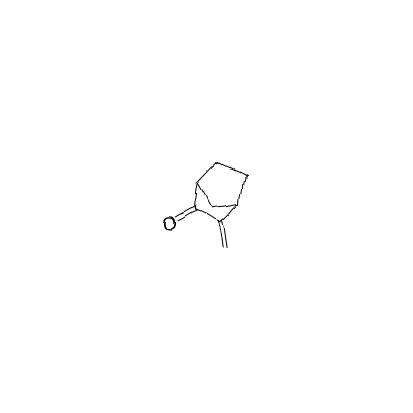 C=C1C(=O)C2CCC1C2